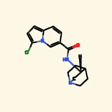 O=C(N[C@H]1CN2CCC1CC2)c1ccc2ccc(Cl)n2c1